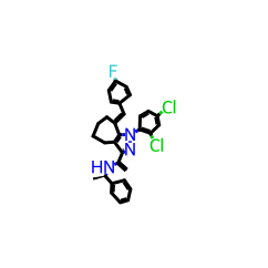 C=C(N[C@H](C)c1ccccc1)c1nn(-c2ccc(Cl)cc2Cl)c2c1CCCC/C2=C\c1ccc(F)cc1